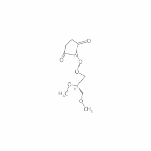 COC[C@H](COON1C(=O)CCC1=O)OC